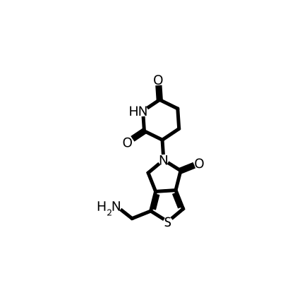 NCc1scc2c1CN(C1CCC(=O)NC1=O)C2=O